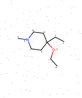 CCOC1(CC)CCN(C)CC1